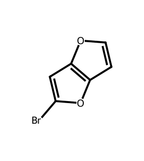 Brc1cc2occc2o1